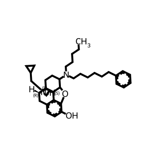 CCCCCN(CCCCCCc1ccccc1)C1CC[C@@]2(O)[C@H]3Cc4ccc(O)c5c4[C@@]2(CCN3CC2CC2)C1O5